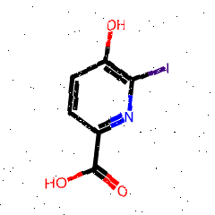 O=C(O)c1ccc(O)c(I)n1